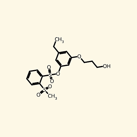 CCc1cc(OCCCO)cc(OS(=O)(=O)c2ccccc2S(C)(=O)=O)c1